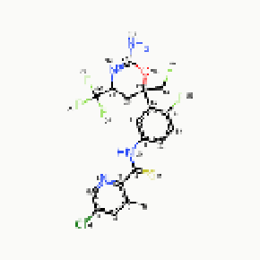 Cc1cc(Cl)cnc1C(=S)Nc1ccc(F)c([C@]2(CF)C[C@@H](C(F)(F)F)N=C(N)O2)c1